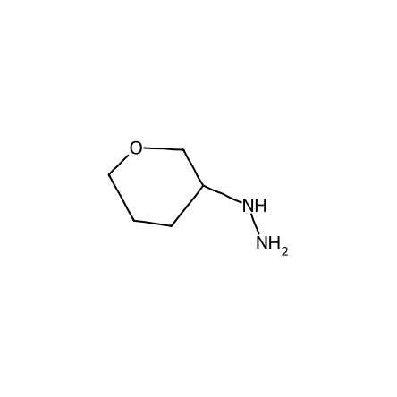 NNC1CCCOC1